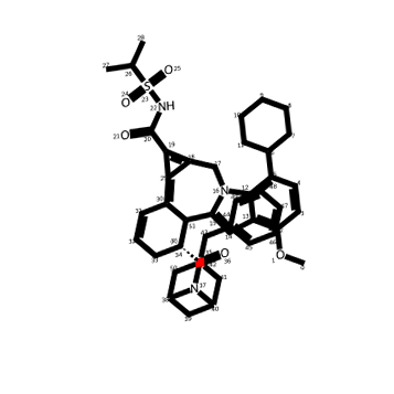 COc1ccc(C2CCCCC2)c2c1cc1n2CC2=C(C(=O)NS(=O)(=O)C(C)C)C2=C2C=CC[C@@H](C(=O)N3C4CC3CN(Cc3ccccc3)C4)C21